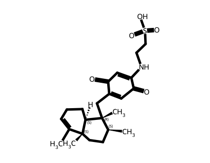 CC1=CCC[C@H]2[C@](C)(CC3=CC(=O)C(NCCS(=O)(=O)O)=CC3=O)[C@@H](C)CC[C@]12C